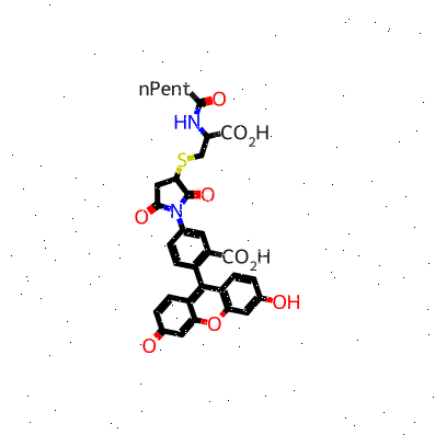 CCCCCC(=O)NC(CSC1CC(=O)N(c2ccc(-c3c4ccc(=O)cc-4oc4cc(O)ccc34)c(C(=O)O)c2)C1=O)C(=O)O